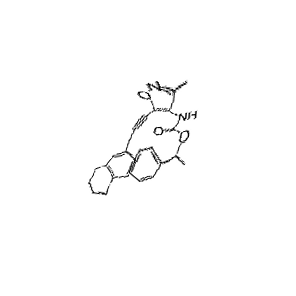 Cc1noc(C#Cc2ccc3c(c2)CCCC3)c1NC(=O)OC(C)c1ccccc1